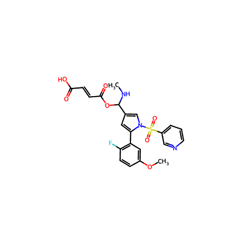 CNC(OC(=O)/C=C/C(=O)O)c1cc(-c2cc(OC)ccc2F)n(S(=O)(=O)c2cccnc2)c1